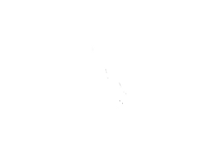 NN=C1C=CC(C(=O)O)=CC1